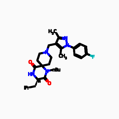 CCCCN1C(=O)[C@H](CC(C)C)NC(=O)C12CCN(Cc1c(C)nn(-c3ccc(F)cc3)c1C)CC2